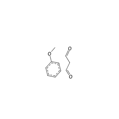 COc1ccccc1.O=CCC=O